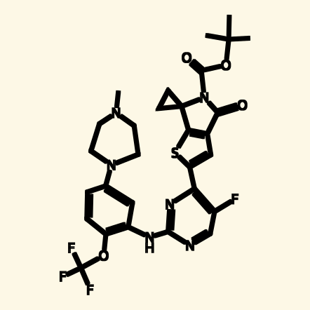 CN1CCN(c2ccc(OC(F)(F)F)c(Nc3ncc(F)c(-c4cc5c(s4)C4(CC4)N(C(=O)OC(C)(C)C)C5=O)n3)c2)CC1